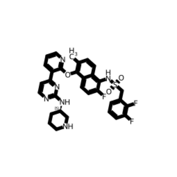 Cc1ccc2c(NS(=O)(=O)Cc3cccc(F)c3F)c(F)ccc2c1Oc1ncccc1-c1ccnc(N[C@H]2CCCNC2)n1